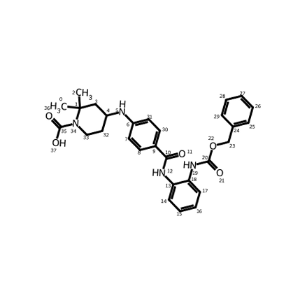 CC1(C)CC(Nc2ccc(C(=O)Nc3ccccc3NC(=O)OCc3ccccc3)cc2)CCN1C(=O)O